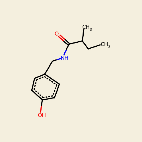 CCC(C)C(=O)NCc1ccc(O)cc1